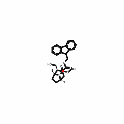 CC(C)(C)OC(=O)N1[C@@H]2CC[C@H]1[C@@H](CO)N(C(=O)OCC1c3ccccc3-c3ccccc31)C2